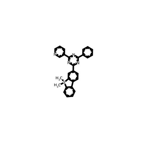 CS1(C)c2ccccc2-c2ccc(-c3nc(-c4ccccc4)nc(-c4cccnc4)n3)cc21